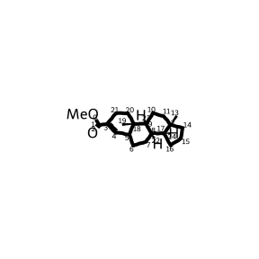 COC(=O)C1=CC2CC[C@@H]3[C@@H](CC[C@]4(C)CCC[C@@H]34)[C@@]2(C)CC1